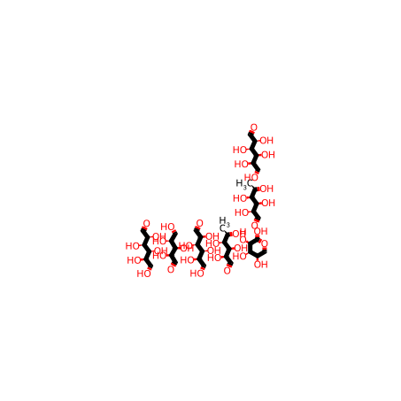 C[C@H](O)[C@@H](O)[C@@H](O)[C@H](O)C=O.C[C@H](O)[C@H](O)[C@@H](O)[C@@H](O)C=O.O=C[C@@H](O)[C@@H](O)[C@H](O)[C@H](O)CO.O=C[C@@H](O)[C@H](O)[C@H](O)CO.O=C[C@H](O)[C@@H](O)[C@@H](O)[C@H](O)CO.O=C[C@H](O)[C@@H](O)[C@H](O)[C@H](O)CO.OC1OC[C@@H](O)[C@H](O)[C@H]1O